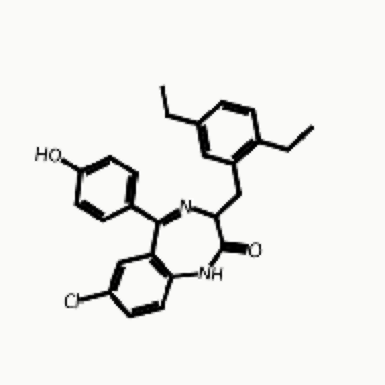 CCc1ccc(CC)c(CC2N=C(c3ccc(O)cc3)c3cc(Cl)ccc3NC2=O)c1